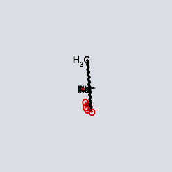 CCCCCCCCCCCCCCCCCCC(=CC(=O)[O-])C(=O)[O-].[Na+].[Na+]